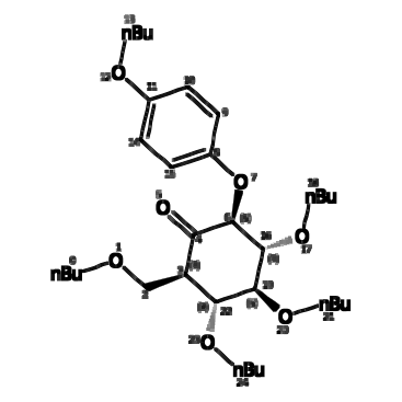 CCCCOC[C@H]1C(=O)[C@@H](Oc2ccc(OCCCC)cc2)[C@H](OCCCC)[C@@H](OCCCC)[C@@H]1OCCCC